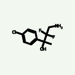 CC(O)(c1ccc(Cl)cc1)C(F)(F)CN